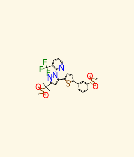 CC(C)(c1cc(-c2ccc(-c3cccc(S(C)(=O)=O)c3)s2)n(-c2ncccc2C(F)(F)F)n1)S(C)(=O)=O